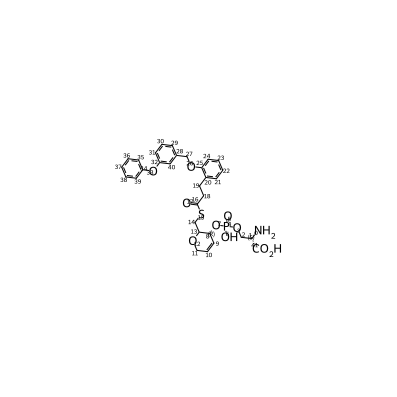 N[C@@H](COP(=O)(O)O[C@@H]1C=CCOC1CSC(=O)CCc1ccccc1OCc1cccc(Oc2ccccc2)c1)C(=O)O